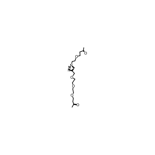 CC(=O)CCOCCOCCOCc1cn(CCOCCC(C)=O)nn1